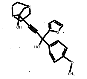 COc1ccc(C(O)(C#CC2(O)CN3CCC2CC3)c2cccs2)cc1